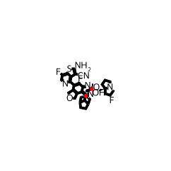 C[C@@H](O)CN1CC2CCC(C1)C2c1nc(OC[C@@]23CCCN2C[C@H](F)C3)nc2c(F)c(-c3ncc(F)c4sc(N)c(C#N)c34)c3c(c12)COC3